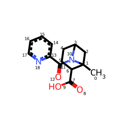 CC12CC(CCC1C(=O)O)N2C(=O)c1ccccn1